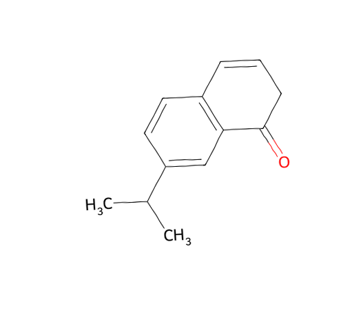 CC(C)c1ccc2c(c1)C(=O)CC=C2